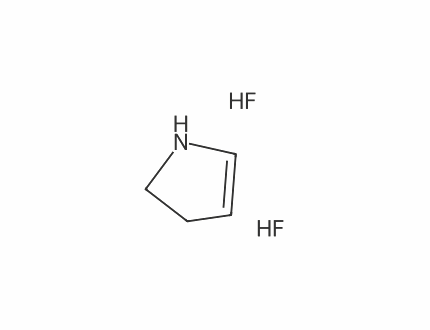 C1=CNCC1.F.F